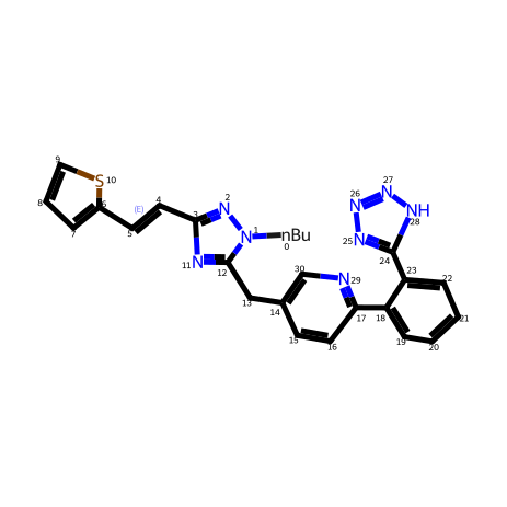 CCCCn1nc(/C=C/c2cccs2)nc1Cc1ccc(-c2ccccc2-c2nnn[nH]2)nc1